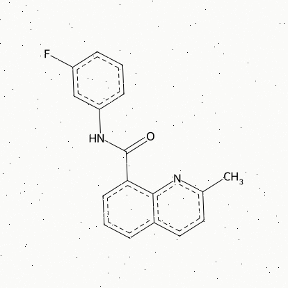 Cc1ccc2cccc(C(=O)Nc3cccc(F)c3)c2n1